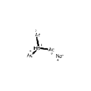 CC(=O)[BH-](C(C)=O)C(C)=O.[Na+]